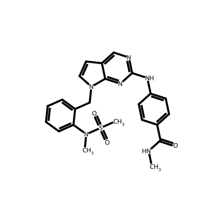 CNC(=O)c1ccc(Nc2ncc3ccn(Cc4ccccc4N(C)S(C)(=O)=O)c3n2)cc1